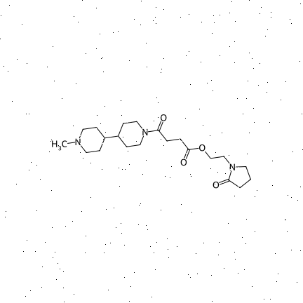 CN1CCC(C2CCN(C(=O)CCC(=O)OCCN3CCCC3=O)CC2)CC1